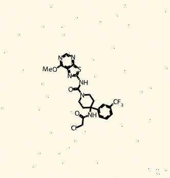 COc1ncnc2sc(NC(=O)N3CCC(NC(=O)CCl)(c4cccc(C(F)(F)F)c4)CC3)nc12